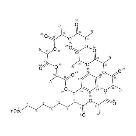 CCCCCCCCCCCCCCCCCC(=O)OC(C)C(=O)OC(C)C(=O)OC(C)C(=O)OC(C)C(=O)OC(C)C(=O)OC(C)C(=O)OC(C)C(=O)OC(C)C(=O)OCc1ccccc1